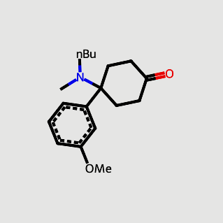 CCCCN(C)C1(c2cccc(OC)c2)CCC(=O)CC1